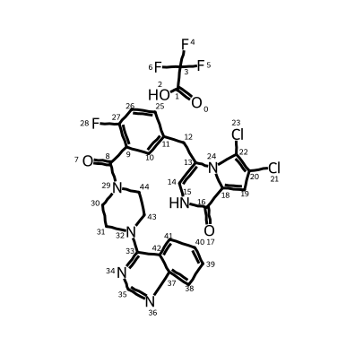 O=C(O)C(F)(F)F.O=C(c1cc(Cc2c[nH]c(=O)c3cc(Cl)c(Cl)n23)ccc1F)N1CCN(c2ncnc3ccccc23)CC1